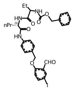 CCC[C@H](NC(=O)C(CC)NC(=O)OCc1ccccc1)C(=O)Nc1ccc(COc2ccc(I)cc2C=O)cc1